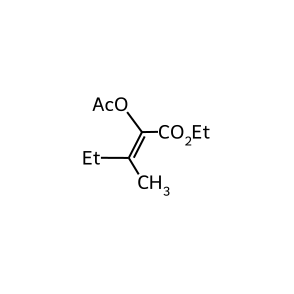 CCOC(=O)C(OC(C)=O)=C(C)CC